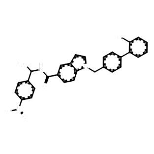 CC(NC(=O)c1ccc2c(ccn2Cc2ccc(-c3ccccc3Cl)cc2)c1)c1ccc([N+](=O)[O-])cc1